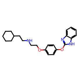 c1ccc2[nH]c(Oc3ccc(OCCNCCC4CCCCC4)cc3)nc2c1